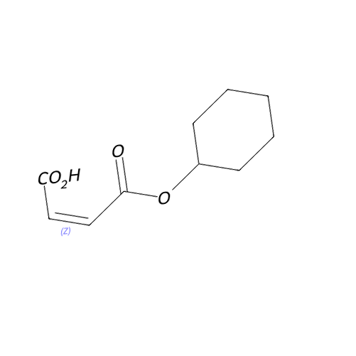 O=C(O)/C=C\C(=O)OC1CCCCC1